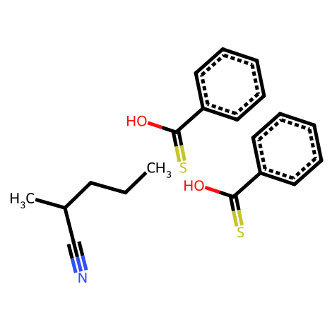 CCCC(C)C#N.OC(=S)c1ccccc1.OC(=S)c1ccccc1